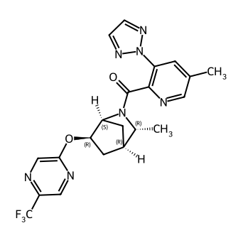 Cc1cnc(C(=O)N2[C@H](C)[C@H]3C[C@@H](Oc4cnc(C(F)(F)F)cn4)[C@@H]2C3)c(-n2nccn2)c1